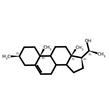 C[C@H]1CC[C@@]2(C)C(=CCC3C2CC[C@@]2(C)C3CC[C@@H]2[C@H](C)O)C1